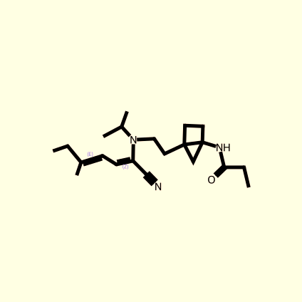 CCC(=O)NC12CCC1(CCN(/C(C#N)=C\C=C(/C)CC)C(C)C)C2